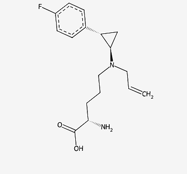 C=CCN(CCC[C@H](N)C(=O)O)[C@@H]1C[C@H]1c1ccc(F)cc1